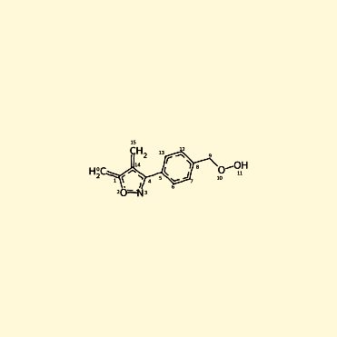 C=c1onc(-c2ccc(COO)cc2)c1=C